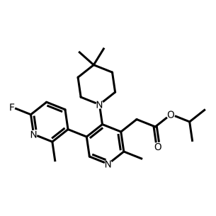 Cc1nc(F)ccc1-c1cnc(C)c(CC(=O)OC(C)C)c1N1CCC(C)(C)CC1